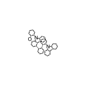 c1ccc2c(c1)Oc1ccc(-c3ccccc3-c3ccccc3-n3c4ccccc4c4ccccc43)c3c4ccccc4n-2c13